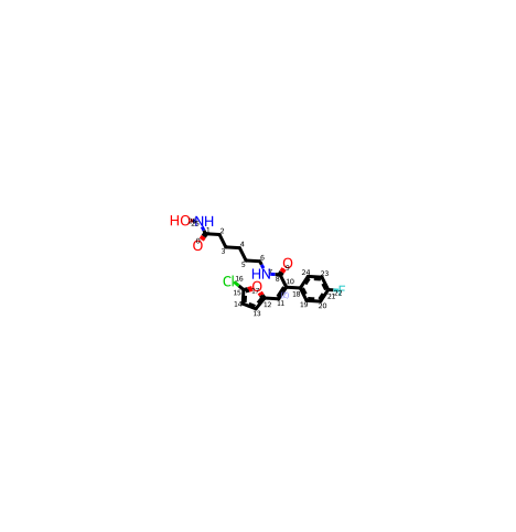 O=C(CCCCCNC(=O)/C(=C\c1ccc(Cl)o1)c1ccc(F)cc1)NO